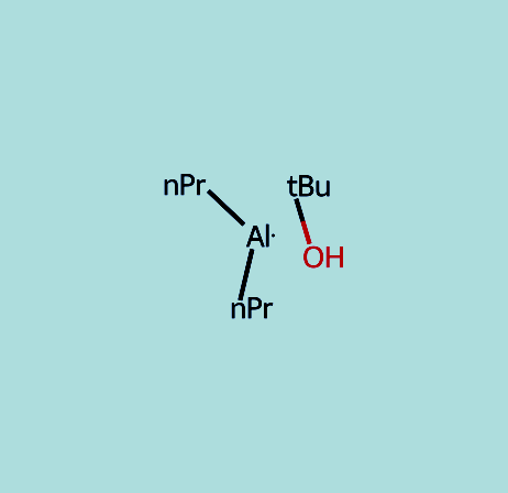 CC(C)(C)O.CC[CH2][Al][CH2]CC